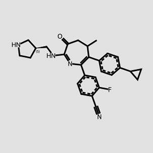 CC1CC(=O)C(NC[C@H]2CCNC2)=NC(c2ccc(C#N)c(F)c2)=C1c1ccc(C2CC2)cc1